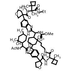 CCNC(=O)[C@@](C)(N(C)C(=O)C1(c2ccc3[nH]c(C(NC(=O)OC)C4CCC(C)CC4(C)CCCNC(=O)[C@H](NC(=O)C4(c5ccc6[nH]c(C(NC(C)=O)C7CCC(C)CC7(C)C)nc6c5)CCOC4)C4(C)CCC4)nc3c2)CCOC1)C1(C)CCC1